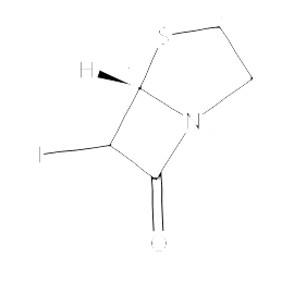 O=C1C(I)[C@@H]2SCCN12